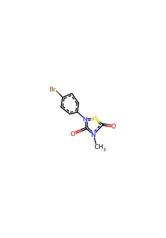 Cn1c(=O)sn(-c2ccc(Br)cc2)c1=O